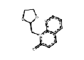 O=c1ccc2cccnc2n1CC1OCCO1